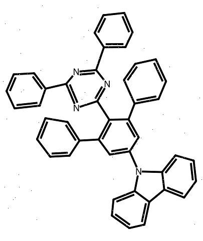 c1ccc(-c2nc(-c3ccccc3)nc(-c3c(-c4ccccc4)cc(-n4c5ccccc5c5ccccc54)cc3-c3ccccc3)n2)cc1